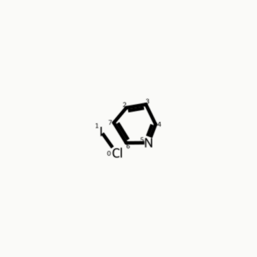 ClI.c1ccncc1